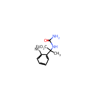 CCOC(=O)C(C)(NC(N)=O)c1ccccc1C#N